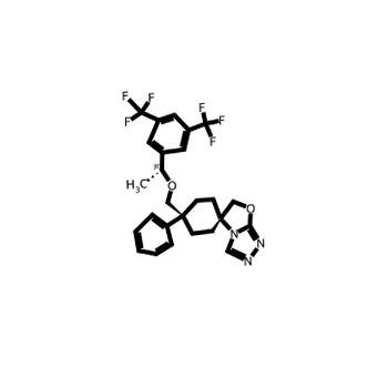 C[C@@H](OC[C@]1(c2ccccc2)CC[C@@]2(CC1)COc1nncn12)c1cc(C(F)(F)F)cc(C(F)(F)F)c1